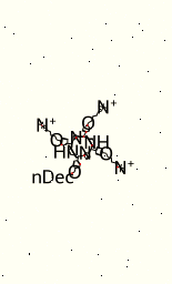 CCCCCCCCCCCOc1ccc(-c2c3nc(c(-c4ccc(OCCCCC[N+](C)(C)C)cc4)c4ccc([nH]4)c(-c4ccc(OCCCCC[N+](C)(C)C)cc4)c4nc(c(-c5ccc(OCCCCC[N+](C)(C)C)cc5)c5ccc2[nH]5)C=C4)C=C3)cc1